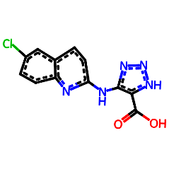 O=C(O)c1[nH]nnc1Nc1ccc2cc(Cl)ccc2n1